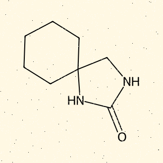 O=C1NCC2(CCCCC2)N1